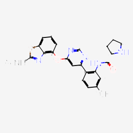 CC(=O)Nc1nc2c(Oc3cc(-c4ccc(C(F)(F)F)cc4NC(=O)[C@@H]4CCCN4)ncn3)cccc2s1